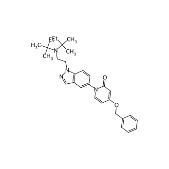 CCC(C)(C)N(CCn1ncc2cc(-n3ccc(OCc4ccccc4)cc3=O)ccc21)C(C)(C)CC